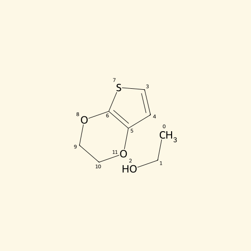 CCO.c1cc2c(s1)OCCO2